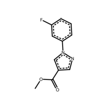 COC(=O)c1cnn(-c2cc[c]c(F)c2)c1